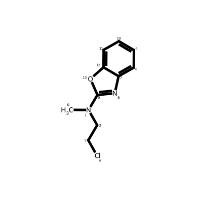 CN(CCCl)c1nc2ccccc2o1